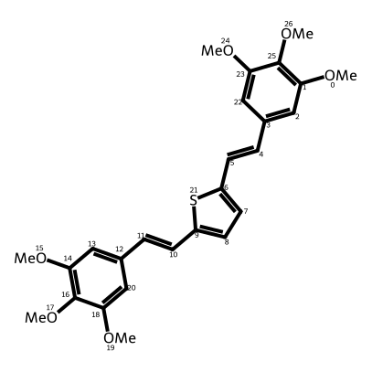 COc1cc(C=Cc2ccc(C=Cc3cc(OC)c(OC)c(OC)c3)s2)cc(OC)c1OC